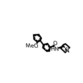 COc1ccccc1-c1cccc(C(=O)NC2CN3CCC2CC3)c1